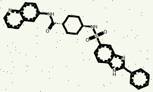 O=C(Nc1ccc2ncccc2c1)[C@H]1CC[C@H](NS(=O)(=O)c2ccc3[nH]c(-c4ccccc4)nc3c2)CC1